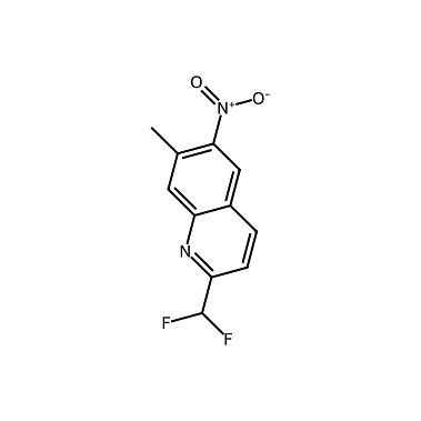 Cc1cc2nc(C(F)F)ccc2cc1[N+](=O)[O-]